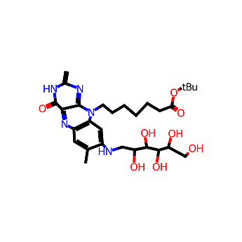 C=c1nc2c(c(=O)[nH]1)=Nc1cc(C)c(NCC(O)C(O)C(O)C(O)CO)cc1N2CCCCCCC(=O)OC(C)(C)C